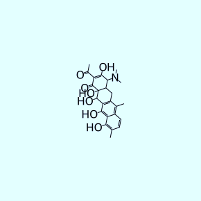 CC(=O)C1=C(O)C(N(C)C)C2Cc3c(c(O)c4c(O)c(C)ccc4c3C)C(O)C2(O)C1=O